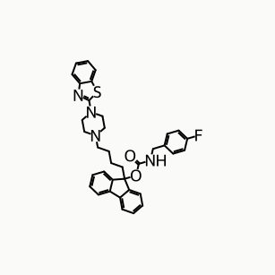 O=C(NCc1ccc(F)cc1)OC1(CCCCN2CCN(c3nc4ccccc4s3)CC2)c2ccccc2-c2ccccc21